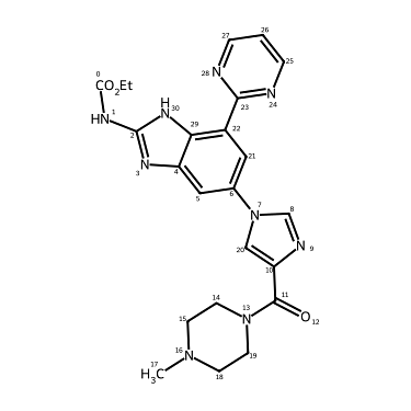 CCOC(=O)Nc1nc2cc(-n3cnc(C(=O)N4CCN(C)CC4)c3)cc(-c3ncccn3)c2[nH]1